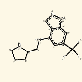 FC(F)(F)c1cc(NC[C@H]2CCCN2)c2cn[nH]c2c1